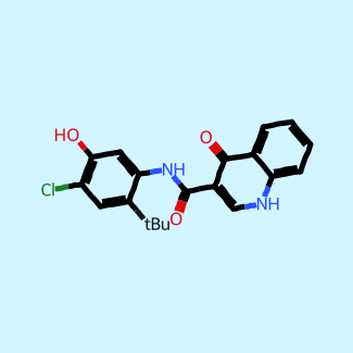 CC(C)(C)c1cc(Cl)c(O)cc1NC(=O)c1c[nH]c2ccccc2c1=O